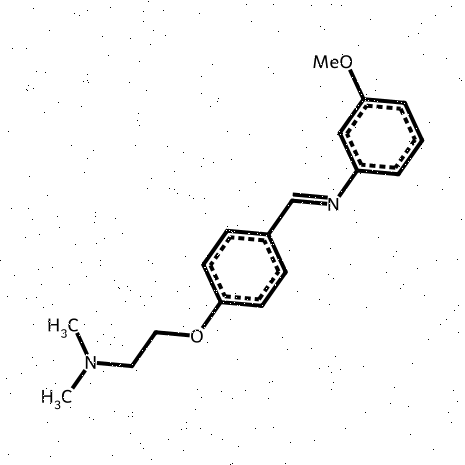 COc1cccc(N=Cc2ccc(OCCN(C)C)cc2)c1